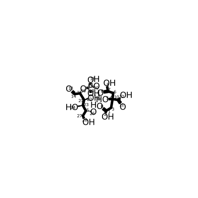 O=C(O)CC(O)(CC(=O)O)C(=O)O.O=C[C@H](OP(=O)(O)O)[C@@H](O)[C@H](O)[C@H](O)CO